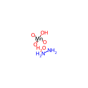 NN.O.[O]=[Mn](=[O])(=[O])[OH]